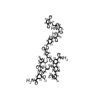 CCc1nc(C)sc1C(=O)Nc1nc2cc(C(N)=O)cc(OC)c2n1C/C=C/Cn1c2nc(-c3cc(C)nn3CC)ncc2c2cc(C(N)=O)cc(OCCC3CN(C(=O)OCc4ccc(NC(=O)[C@H](C)NC(=O)[C@@H](NC(=O)CCN5C(=O)C=CC5=O)C(C)C)cc4)C3)c21